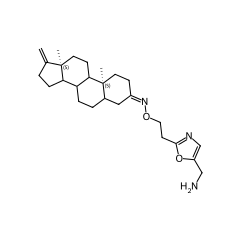 C=C1CCC2C3CCC4CC(=NOCCc5ncc(CN)o5)CC[C@]4(C)C3CC[C@]12C